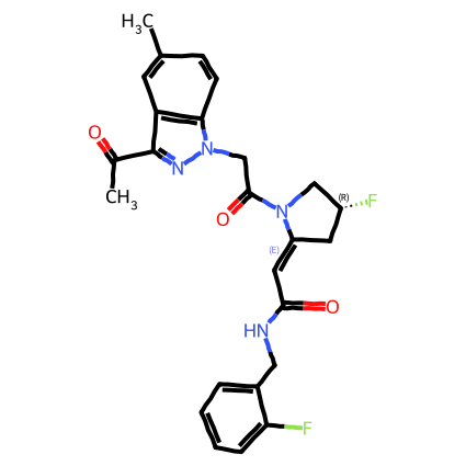 CC(=O)c1nn(CC(=O)N2C[C@H](F)C/C2=C\C(=O)NCc2ccccc2F)c2ccc(C)cc12